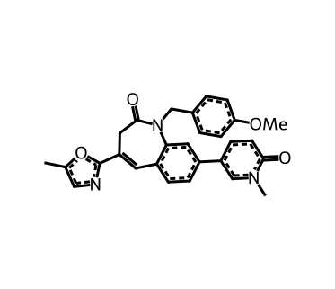 COc1ccc(CN2C(=O)CC(c3ncc(C)o3)=Cc3ccc(-c4ccc(=O)n(C)c4)cc32)cc1